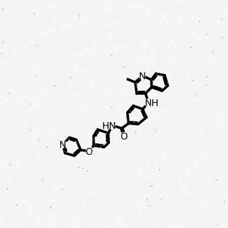 Cc1cc(Nc2ccc(C(=O)Nc3ccc(Oc4ccncc4)cc3)cc2)c2ccccc2n1